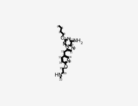 CCCCOc1nc(N)c2ncc(Cc3ccc(OCCNC)nc3)n2n1